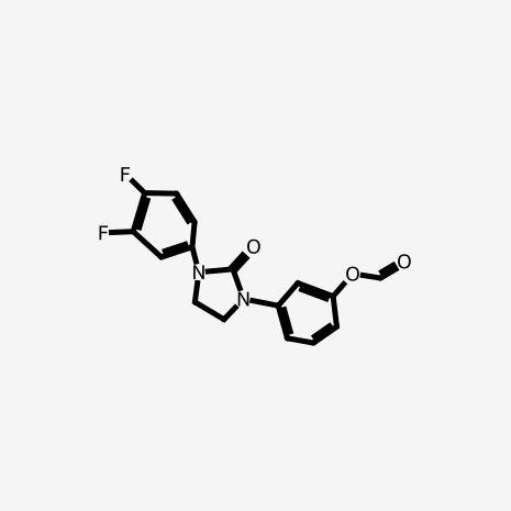 O=COc1cccc(N2CCN(c3ccc(F)c(F)c3)C2=O)c1